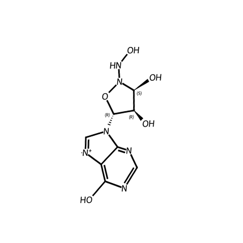 ONN1O[C@@H](N2C=[N+]c3c(O)ncnc32)[C@H](O)[C@@H]1O